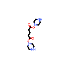 O=C(CCCC(=O)ON1CCNCC1)ON1CCNCC1